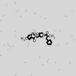 Cc1cc2c(=O)n(CC3(O)CCN(C(=O)C(C)Cc4ccccc4)CC3)cnn2c1